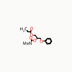 C=CC(=O)OCC(COc1ccccc1)OC(=O)NC